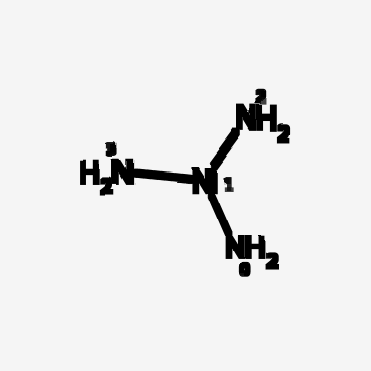 [NH2][Ni]([NH2])[NH2]